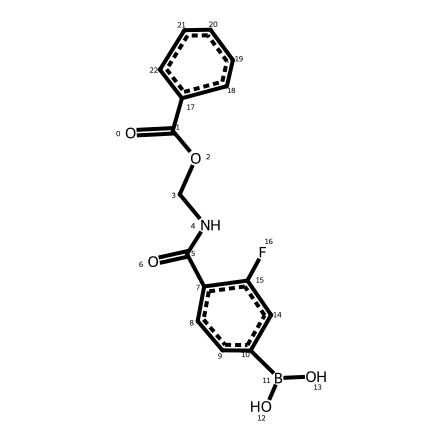 O=C(OCNC(=O)c1ccc(B(O)O)cc1F)c1ccccc1